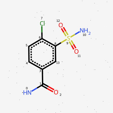 [NH]C(=O)c1ccc(Cl)c(S(N)(=O)=O)c1